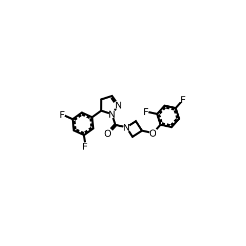 O=C(N1CC(Oc2ccc(F)cc2F)C1)N1N=CCC1c1cc(F)cc(F)c1